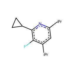 CC(C)c1cc(C(C)C)c(F)c(C2CC2)n1